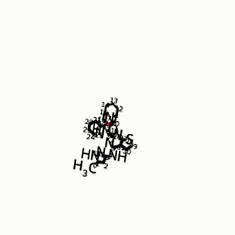 Cc1cc(Nc2nc(NC3CC4CCCC(C3)N4C(=O)c3ccccn3)nc3sccc23)n[nH]1